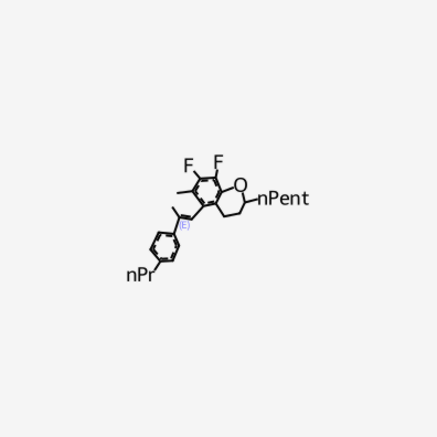 CCCCCC1CCc2c(/C=C(\C)c3ccc(CCC)cc3)c(C)c(F)c(F)c2O1